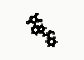 C=C1SC(=O)N(c2cccc3c2ccn3CC(OC)c2ccccc2)C1=O